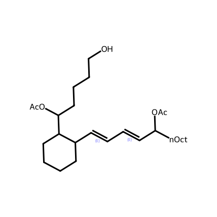 CCCCCCCCC(/C=C/C=C/C1CCCCC1C(CCCCO)OC(C)=O)OC(C)=O